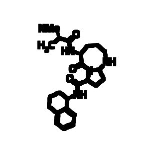 CN[C@@H](C)C(=O)N[C@H]1CCCNC2CCC(C(=O)N[C@@H]3CCCc4ccccc43)N2C1=O